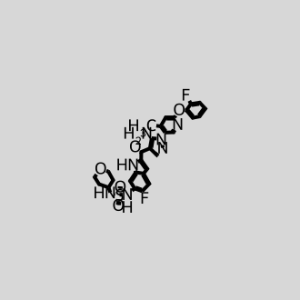 Cc1cc(Oc2ccccc2F)ncc1-n1ncc(C(=O)c2cc3cc(F)c(NS(=O)(=O)NC4CCOCC4)cc3[nH]2)c1N